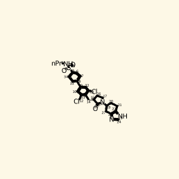 CCCNS(=O)(=O)c1ccc(-c2cc(Cl)c(C[C@@H]3CCN(C4CCc5[nH]cnc5C4)C3=O)c(Cl)c2)cc1